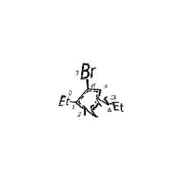 CCc1nn(CC)cc1Br